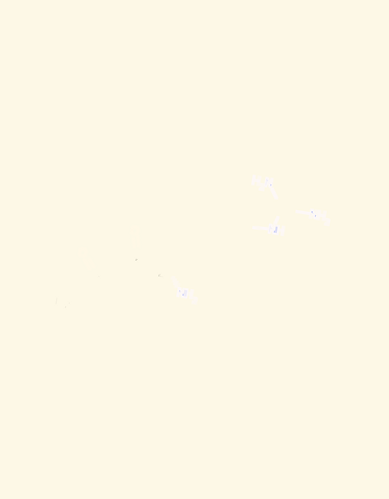 CC(=O)CC(=O)[C@@H](N)CCCNC(N)N